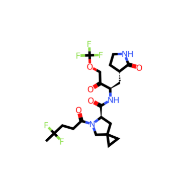 CC(F)(F)CCC(=O)N1CC2(CC2)C[C@@H]1C(=O)N[C@H](C[C@@H]1CCNC1=O)C(=O)COC(F)(F)F